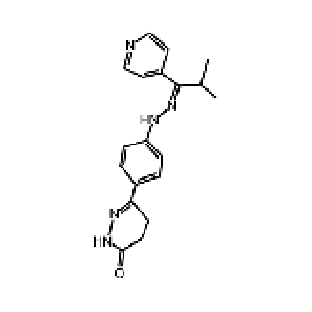 CC(C)C(=NNc1ccc(C2=NNC(=O)CC2)cc1)c1ccncc1